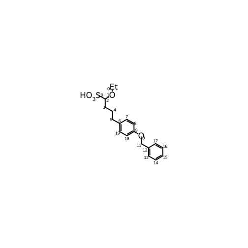 CCOC(CCCc1ccc(OCc2ccccc2)cc1)S(=O)(=O)O